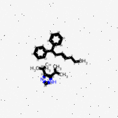 BCCC=CCC(c1ccccc1)c1ccccc1.CC(C)c1nc[nH]c1C(C)C